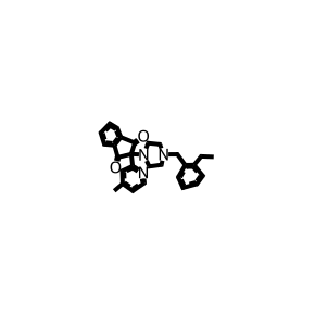 CCc1ccccc1CN1CCN(C2(c3cc(C)ccn3)C(=O)c3ccccc3C2=O)CC1